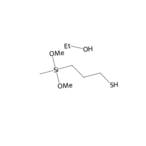 CCO.CO[Si](C)(CCCS)OC